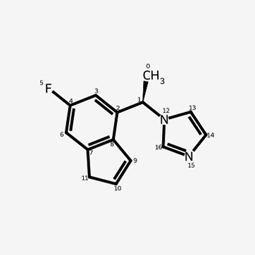 C[C@H](c1cc(F)cc2c1C=CC2)n1ccnc1